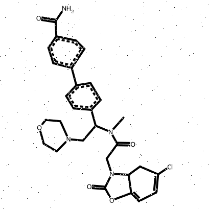 CN(C(=O)CN1C(=O)OC2=CC=C(Cl)CC21)C(CN1CCOCC1)c1ccc(-c2ccc(C(N)=O)cc2)cc1